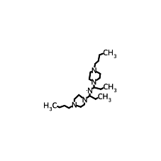 CCCCN1CCN(C(CC)[N]C(CC)N2CCN(CCCC)CC2)CC1